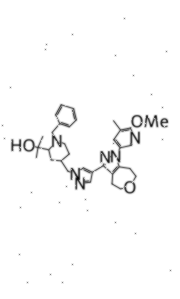 COc1ncc(-n2nc(-c3cnn(CC4CCN(Cc5ccccc5)C(C(C)(C)O)C4)c3)c3c2CCOCC3)cc1C